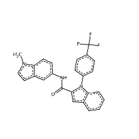 Cn1ccc2cc(NC(=O)c3cc4ccccc4n3-c3ccc(C(F)(F)F)cc3)ccc21